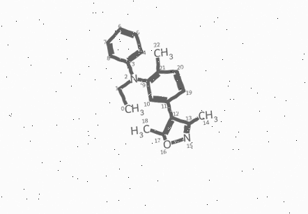 CCN(c1ccccc1)c1cc(-c2c(C)noc2C)ccc1C